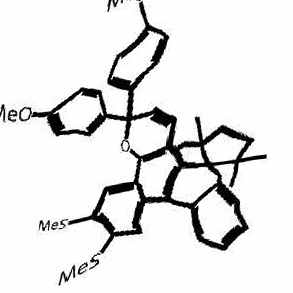 COc1ccc(C2(c3ccc(OC)cc3)C=Cc3c4c(c5cc(SC)c(SC)cc5c3O2)-c2ccccc2C42C(C)(C)CCC2(C)C)cc1